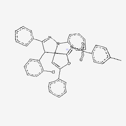 Cc1ccc(S(=O)(=O)/N=C2\OC(c3ccccc3)=CC23C(c2ccccc2Cl)C(c2ccccc2)=NN3c2ccccc2)cc1